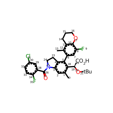 Cc1cc2c(c(-c3cc(F)c4c(c3C)CCCO4)c1[C@H](OC(C)(C)C)C(=O)O)CCN2C(=O)c1cc(Cl)ccc1F